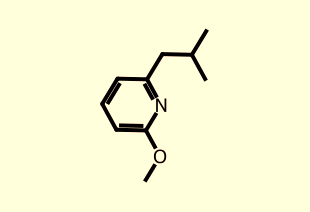 COc1cccc(CC(C)C)n1